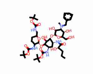 CCC[C@H](O)C(=O)N[C@@H]1C[C@@H](NC(=O)OC(C)(C)C)C(O[C@H]2OC(CNC(=O)OC(C)(C)C)CCC2NC(=O)OC(C)(C)C)C(O)[C@H]1O[C@H]1OC(CO)[C@@H](O)[C@H](N(C)Cc2ccccc2)C1O